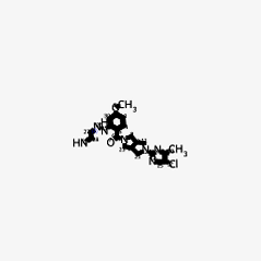 COc1ccc(C(=O)N2CC3CN(c4ncc(Cl)c(C)n4)CC3C2)c(N/N=C\C=N)c1